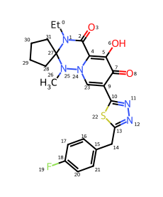 CCN1C(=O)c2c(O)c(=O)c(-c3nnc(Cc4ccc(F)cc4)s3)cn2N(C)C12CCCC2